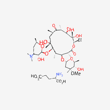 CC[C@H]1OC(=O)[C@H](C)[C@@H](O[C@H]2C[C@@](C)(OC)[C@@H](O)[C@H](C)O2)[C@H](C)[C@@H](O[C@@H]2O[C@H](C)C[C@H](N(C)C)[C@H]2O)[C@](C)(O)C[C@@H](C)C(=O)[C@H](C)[C@@H](O)[C@]1(C)O.NC(CCC(=O)O)C(=O)O